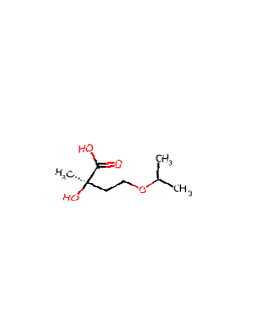 CC(C)OCC[C@@](C)(O)C(=O)O